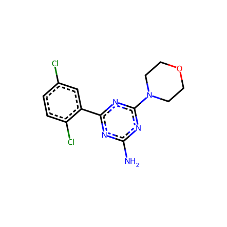 Nc1nc(-c2cc(Cl)ccc2Cl)nc(N2CCOCC2)n1